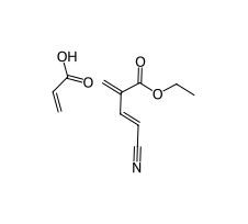 C=C(C=CC#N)C(=O)OCC.C=CC(=O)O